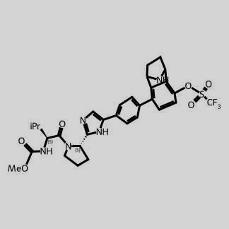 COC(=O)N[C@H](C(=O)N1CCC[C@H]1c1ncc(-c2ccc(-c3ccc(OS(=O)(=O)C(F)(F)F)c4c3C3CCC4N3)cc2)[nH]1)C(C)C